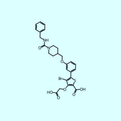 O=C(O)COc1c(C(=O)O)sc(-c2cccc(OCC3CCN(C(=O)NCc4ccccc4)CC3)c2)c1Br